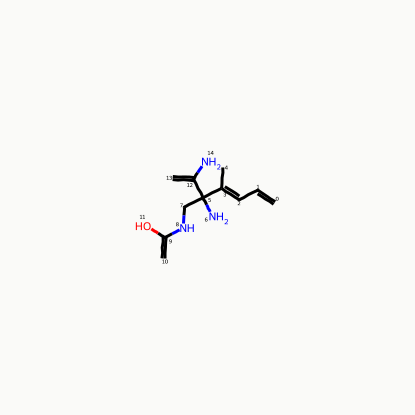 C=C/C=C(\C)C(N)(CNC(=C)O)C(=C)N